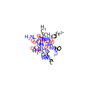 CC[C@H](C)[C@H](N)C(=O)N[C@@H](CC(N)=O)C(=O)N[C@@H](CC(N)=O)C(=O)N[C@H](C(=O)N1CC(C2=CN(c3cc[cH-]c3)NN2)C[C@H]1C(=O)N[C@@H](Cc1c[nH]c2ccccc12)C(=O)N[C@@H](CO)C(N)=O)[C@@H](C)CC.[Fe+2].c1cc[cH-]c1